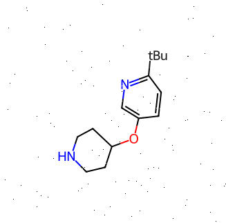 CC(C)(C)c1ccc(OC2CCNCC2)cn1